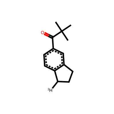 [2H]C1CCc2cc(C(=O)C(C)(C)C)ccc21